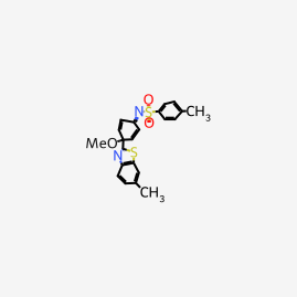 COC1(c2nc3ccc(C)cc3s2)C=CC(=NS(=O)(=O)c2ccc(C)cc2)C=C1